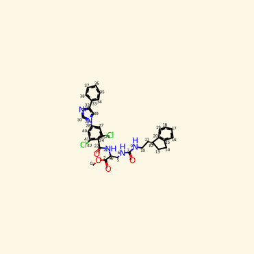 COC(=O)[C@H](CNC(=O)NCC[C@@H]1CCc2ccccc21)NC(=O)c1c(Cl)cc(-n2cnc(-c3ccccc3)c2)cc1Cl